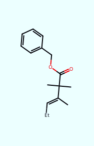 CC/C=C(\C)C(C)(C)C(=O)OCc1ccccc1